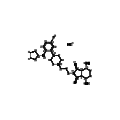 Cl.O=C1C2C(O)C=CC(O)C2C(=O)N1CCCN1CCN(c2cc(F)ccc2OC2CCCC2)CC1